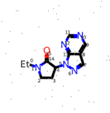 CCN1CCC(n2ncc3cncnc32)C1=O